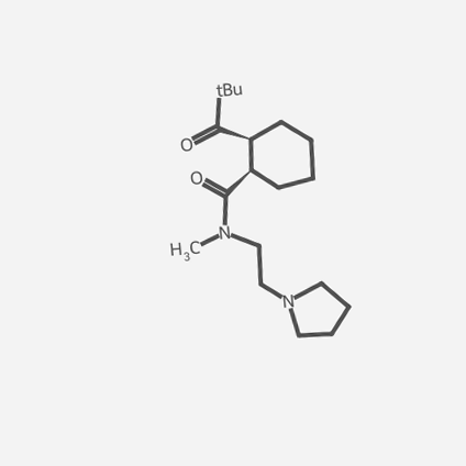 CN(CCN1CCCC1)C(=O)[C@@H]1CCCC[C@@H]1C(=O)C(C)(C)C